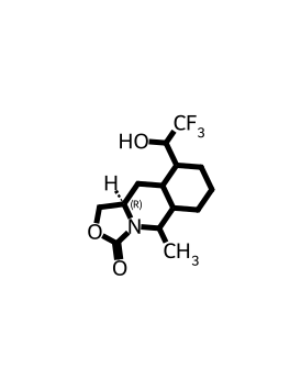 CC1C2CCCC(C(O)C(F)(F)F)C2C[C@@H]2COC(=O)N12